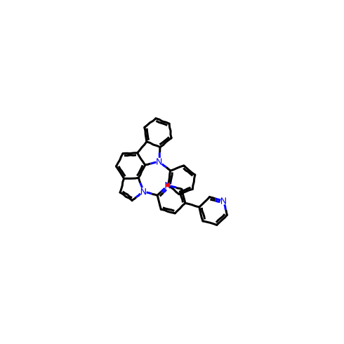 c1ccc(-n2c3ccccc3c3ccc4ccn(-c5ccc(-c6cccnc6)cn5)c4c32)cc1